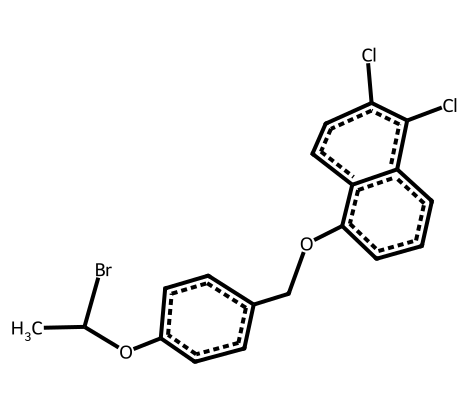 CC(Br)Oc1ccc(COc2cccc3c(Cl)c(Cl)ccc23)cc1